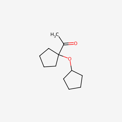 CC(=O)C1(OC2CCCC2)CCCC1